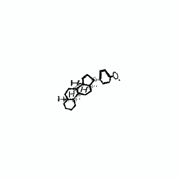 COc1ccc([C@H]2CC[C@H]3[C@@H]4CC[C@H]5CCCC[C@]5(C)[C@H]4CC[C@]23C)cc1